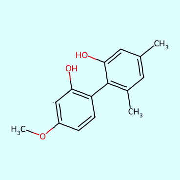 COc1[c]c(O)c(-c2c(C)cc(C)cc2O)cc1